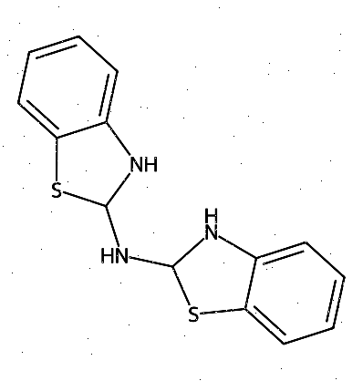 c1ccc2c(c1)NC(NC1Nc3ccccc3S1)S2